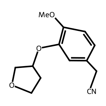 COc1ccc(CC#N)cc1OC1CCOC1